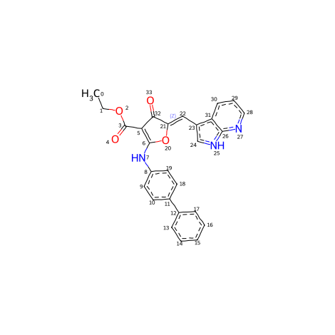 CCOC(=O)C1=C(Nc2ccc(-c3ccccc3)cc2)O/C(=C\c2c[nH]c3ncccc23)C1=O